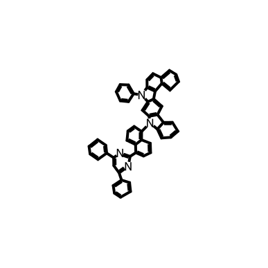 c1ccc(-c2cc(-c3ccccc3)nc(-c3cccc4c(-n5c6ccccc6c6cc7c8c9ccccc9ccc8n(-c8ccccc8)c7cc65)cccc34)n2)cc1